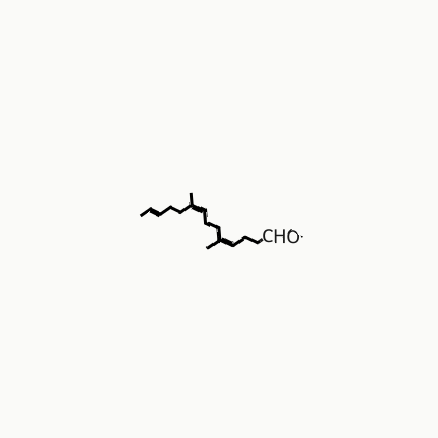 CC=CCCC(C)=CCCC(C)=CCC[C]=O